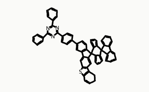 C1=Cc2sc3cc4c(cc3c2CC1)C1(c2ccc(-c3ccc(-c5nc(-c6ccccc6)nc(-c6ccccc6)n5)cc3)cc2-4)c2ccccc2C2(c3ccccc3-c3ccccc32)c2ccccc21